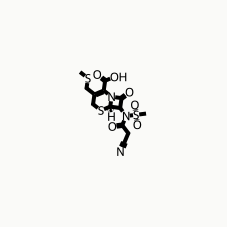 CSCC1=C(C(=O)O)N2C(=O)C(N(C(=O)CC#N)S(C)(=O)=O)[C@@H]2SC1